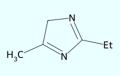 CCC1=NCC(C)=N1